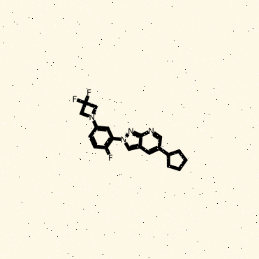 Fc1ccc(N2CC(F)(F)C2)cc1-n1cc2cc(C3CCCC3)cnc2n1